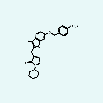 O=C(O)c1ccc(COc2ccc3c(Cl)c(CC4CCN(C5CCCCC5)C4=O)sc3c2)cc1